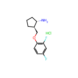 Cl.N[C@H]1CCC[C@@H]1COc1ccc(F)cc1F